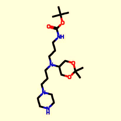 CC(C)(C)OC(=O)NCCCN(CCCN1CCNCC1)C1COC(C)(C)OC1